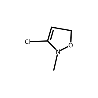 CN1OCC=C1Cl